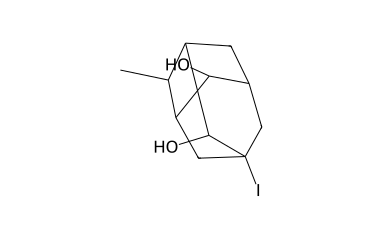 CC1C2CC3(I)CC(CC1C3O)C2O